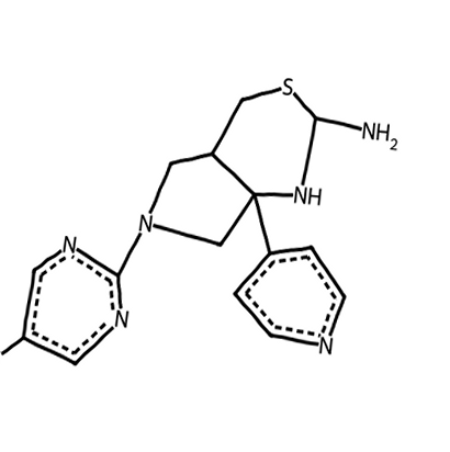 NC1NC2(c3ccncc3)CN(c3ncc(F)cn3)CC2CS1